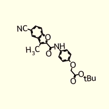 Cc1c(C(=O)Nc2ccc(OCC(=O)OC(C)(C)C)cc2)oc2ccc(C#N)cc12